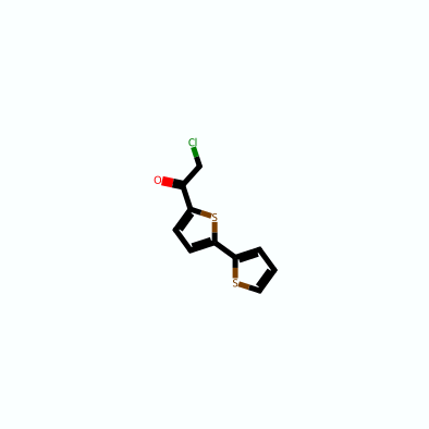 O=C(CCl)c1ccc(-c2cccs2)s1